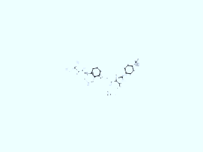 Cc1oc(-c2ccc(C(F)(F)F)cc2)nc1CCOc1cccc2c1CCCN2CCC(=O)O.[Na]